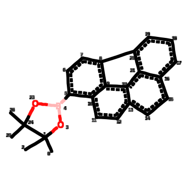 CC1(C)OB(c2ccc3c4c2ccc2ccc5cccc-3c5c24)OC1(C)C